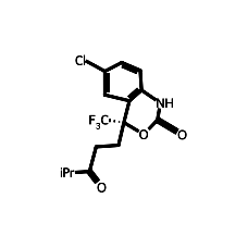 CC(C)C(=O)CC[C@]1(C(F)(F)F)OC(=O)Nc2ccc(Cl)cc21